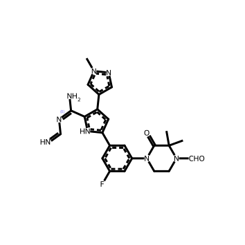 Cn1cc(-c2cc(-c3cc(F)cc(N4CCN(C=O)C(C)(C)C4=O)c3)[nH]c2/C(N)=N\C=N)cn1